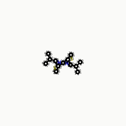 c1ccc(-c2cc(-c3ccccc3)cc(-c3ccc4c(c3)c3c5sc6ccccc6c5cc5c6cc7c(cc6n4c53)c3cc4c5ccccc5sc4c4c5cc(-c6cc(-c8ccccc8)cc(-c8ccccc8)c6)ccc5n7c34)c2)cc1